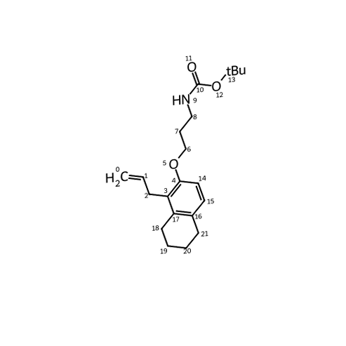 C=CCc1c(OCCCNC(=O)OC(C)(C)C)ccc2c1CCCC2